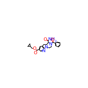 NC(=O)C1C2Cc3cc(C(=O)OCC4CC4)cnc3N2CCN1C(=O)c1ccccc1